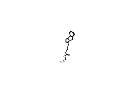 CCOC(=O)CCCCc1ncc2n1Cc1ccccc1-2